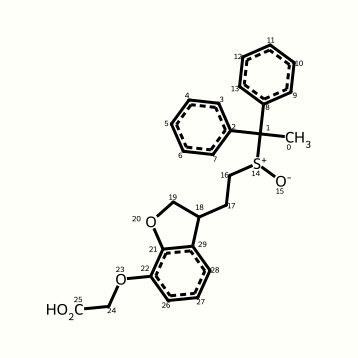 CC(c1ccccc1)(c1ccccc1)[S+]([O-])CCC1COc2c(OCC(=O)O)cccc21